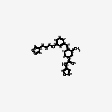 CC1CN(C(=O)Nc2cnoc2)CC/C1=C\c1cccc(OCCCc2cnoc2)c1